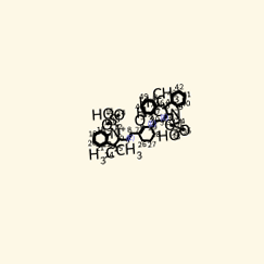 Cc1ccc(OC2=C(/C=C/C3=[N+](CS(=O)(=O)O)c4ccccc4C3(C)C)CCC/C2=C\C=C2\N(CS(=O)(=O)O)c3ccccc3C2(C)C)cc1